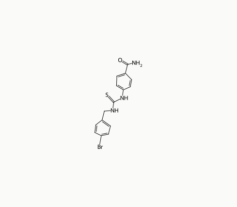 NC(=O)c1ccc(NC(=S)NCc2ccc(Br)cc2)cc1